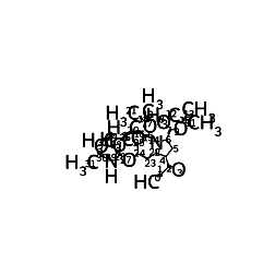 C#CC(=O)[C@@H]1C[C@H](C(=O)OC(C)(C)C)N(C(=O)OC(C)(C)C)[C@@H]1C[C@H](CC)OC(NC(C)=O)OC